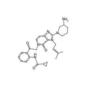 CC(C)=CCn1c(N2CCCC(N)C2)nc2ccn(CC(=O)c3ccccc3NC(=O)C3CC3)c(=O)c21